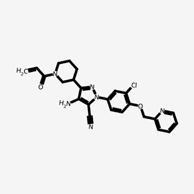 C=CC(=O)N1CCCC(c2nn(-c3ccc(OCc4ccccn4)c(Cl)c3)c(C#N)c2N)C1